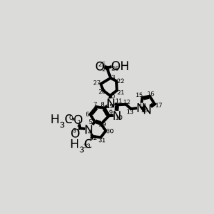 COC(=O)N1c2ccc3c(nc(CCn4cccn4)n3C3CCC(C(=O)O)CC3)c2CCC1C